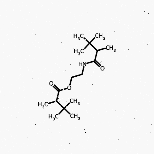 CC(C(=O)NCCOC(=O)C(C)C(C)(C)C)C(C)(C)C